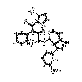 COc1cccc(-c2c[nH]c3ncnc(N[C@@H](C)c4nn5ccc(C)c5c(=O)n4-c4ccccc4)c23)n1